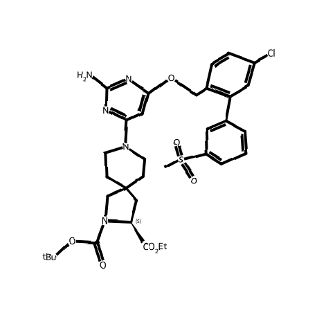 CCOC(=O)[C@@H]1CC2(CCN(c3cc(OCc4ccc(Cl)cc4-c4cccc(S(C)(=O)=O)c4)nc(N)n3)CC2)CN1C(=O)OC(C)(C)C